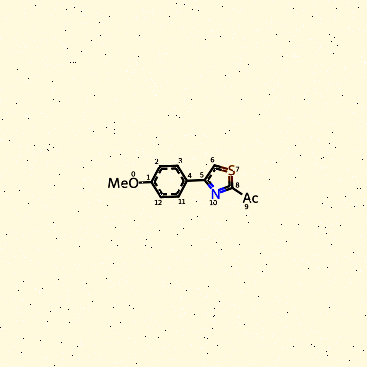 COc1ccc(-c2csc(C(C)=O)n2)cc1